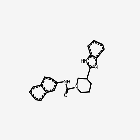 O=C(Nc1ccc2ccccc2c1)N1CCCC(c2nc3ccccc3[nH]2)C1